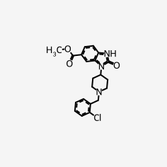 COC(=O)c1ccc2[nH]c(=O)n(C3CCN(Cc4ccccc4Cl)CC3)c2c1